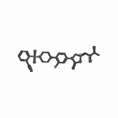 CC(=O)[NH+]([O-])C[C@@H]1CN(c2ccc(N3CCN(S(=O)(=O)c4ccccc4C#N)CC3)c(F)c2)C(=O)O1